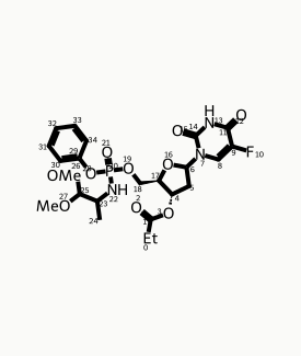 CCC(=O)O[C@H]1CC(n2cc(F)c(=O)[nH]c2=O)O[C@@H]1COP(=O)(NC(C)C(OC)OC)Oc1ccccc1